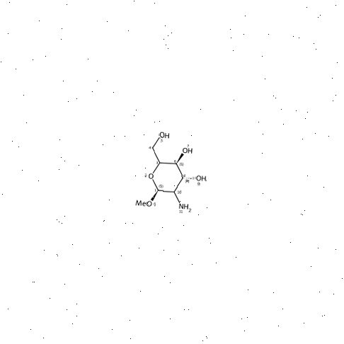 CO[C@H]1OC(CO)[C@@H](O)[C@H](O)C1N